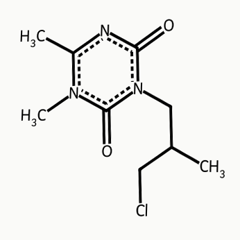 Cc1nc(=O)n(CC(C)CCl)c(=O)n1C